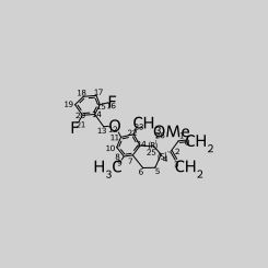 C=CC(=C)[C@@H]1CCc2c(C)cc(OCc3c(F)cccc3F)c(C)c2[C@@H]1OC